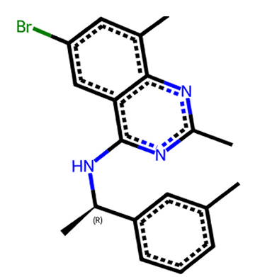 Cc1cccc([C@@H](C)Nc2nc(C)nc3c(C)cc(Br)cc23)c1